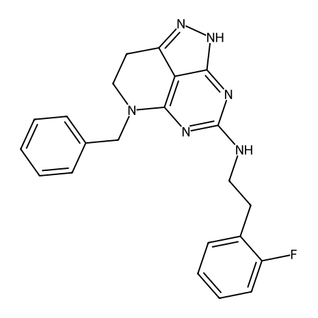 Fc1ccccc1CCNc1nc2c3c(n[nH]c3n1)CCN2Cc1ccccc1